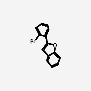 Brc1ccccc1-c1cc2ccccc2o1